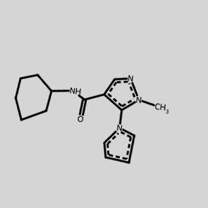 Cn1ncc(C(=O)NC2CCCCC2)c1-n1cccc1